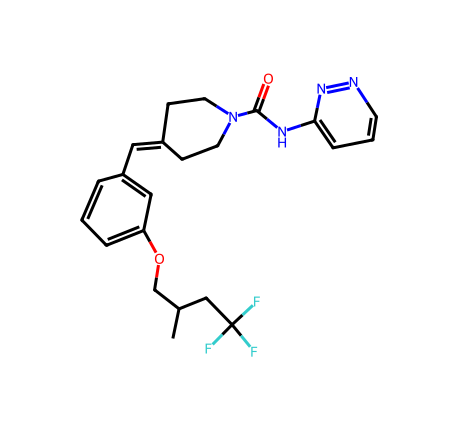 CC(COc1cccc(C=C2CCN(C(=O)Nc3cccnn3)CC2)c1)CC(F)(F)F